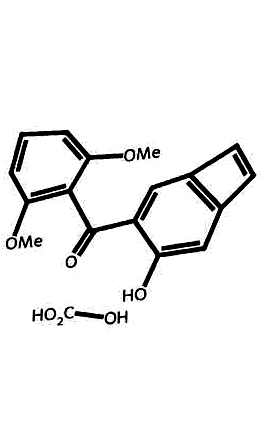 COc1cccc(OC)c1C(=O)c1cc2c(cc1O)C=C2.O=C(O)O